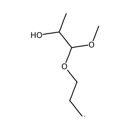 [CH2]CCOC(OC)C(C)O